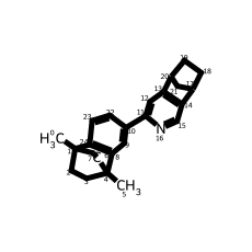 CC12CCC(C)(CC1)c1cc(-c3cc4c(cn3)C3CCC4C3)ccc12